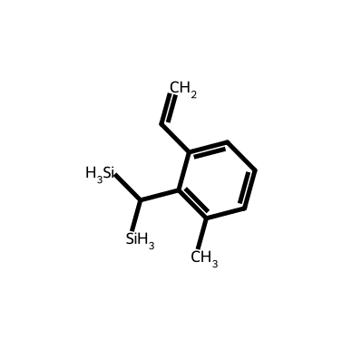 C=Cc1cccc(C)c1C([SiH3])[SiH3]